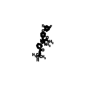 CC(C)(O)/C=C/C(=O)N1CCCC(n2nc(-c3ccc(Oc4ccc(F)cc4F)cc3)c(C(N)=O)c2N)C1